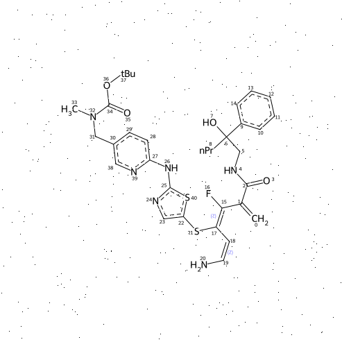 C=C(C(=O)NCC(O)(CCC)c1ccccc1)/C(F)=C(\C=C/N)Sc1cnc(Nc2ccc(CN(C)C(=O)OC(C)(C)C)cn2)s1